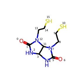 O=C1NC2NC(=O)N(CCS)C2N1CCS